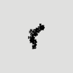 Cc1cc(Oc2c(F)cccc2F)ncc1-n1ncc(C(=O)c2cc3c4c(ccc3[nH]2)CN(CC2CCO2)CC4)c1N